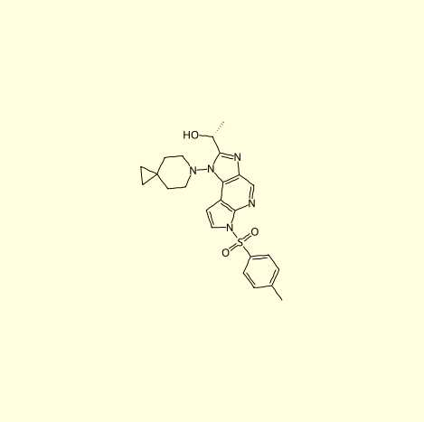 Cc1ccc(S(=O)(=O)n2ccc3c2ncc2nc([C@@H](C)O)n(N4CCC5(CC4)CC5)c23)cc1